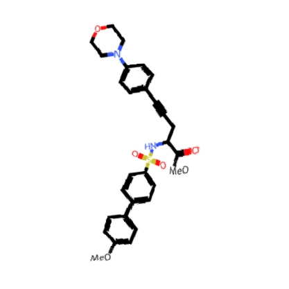 COC(=O)C(CC#Cc1ccc(N2CCOCC2)cc1)NS(=O)(=O)c1ccc(-c2ccc(OC)cc2)cc1